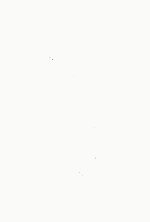 O=C1/C(=C\c2ccccn2)CCc2cc(OCCn3ccnc3)ccc21